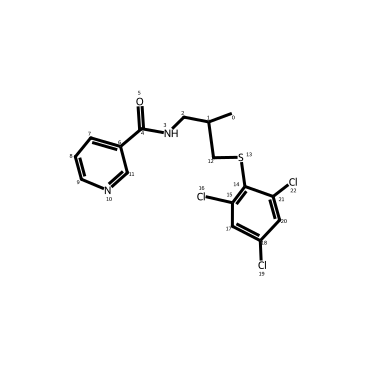 CC(CNC(=O)c1cccnc1)CSc1c(Cl)cc(Cl)cc1Cl